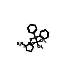 CC(C)(C)[Si](O[C@H]1CCC[C@H]1N)(c1ccccc1)c1ccccc1